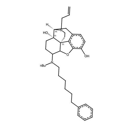 C=CCN1CC[C@]23c4c5ccc(O)c4OC2C(N(CCCC)CCCCCCc2ccccc2)CC[C@@]3(O)[C@H]1C5